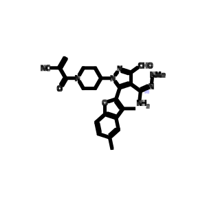 C=C(C#N)C(=O)N1CCC(n2nc(C=O)c(/C(N)=N\NC)c2-c2oc3ccc(C)cc3c2C)CC1